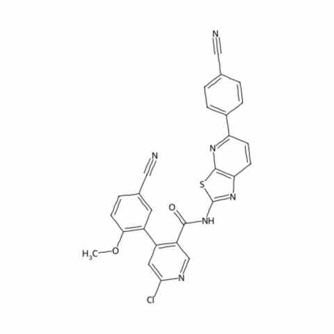 COc1ccc(C#N)cc1-c1cc(Cl)ncc1C(=O)Nc1nc2ccc(-c3ccc(C#N)cc3)nc2s1